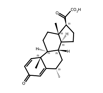 C[C@H]1C[C@H]2[C@@H]3CC[C@H](C(=O)C(=O)O)[C@@]3(C)CC[C@@H]2[C@@]2(C)C=CC(=O)C=C12